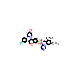 COc1ccc(CN(c2ccncn2)S(=O)(=O)c2cc3c(cc2F)C(N2CC[C@@](O)(C(F)(F)F)C[C@H]2c2ccc(F)cc2)CCO3)c(OC)c1